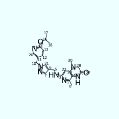 Cc1nc(NCc2cnn(Cc3ccc(OC(C)C)nc3)c2)cc2c1NC(=O)CN2C